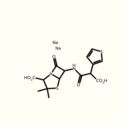 CC1(C)SC2C(NC(=O)C(C(=O)O)c3ccsc3)C(=O)N2C1C(=O)O.[Na].[Na]